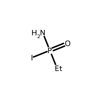 CCP(N)(=O)I